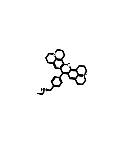 CCNCc1ccc(C2=c3cc4c5c(c3Oc3c2cc2c6c3CCCN6CCC2)CCC[N+]=5CCC4)cc1